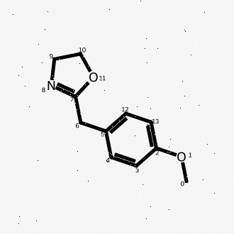 COc1ccc(CC2=NCCO2)cc1